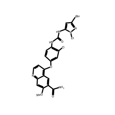 CCn1nc(C(C)(C)C)cc1NC(=O)Nc1ccc(Oc2ccnc3cc(OC)c(C(N)=O)cc23)cc1Cl